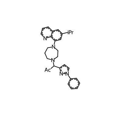 CC(=O)C(c1ccn(-c2ccccc2)n1)N1CCCN(c2cc(C(C)C)cc3cccnc23)CC1